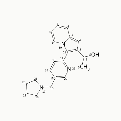 CC(O)c1cc2ccccn2c1-c1ccc(CN2CCCC2)cn1